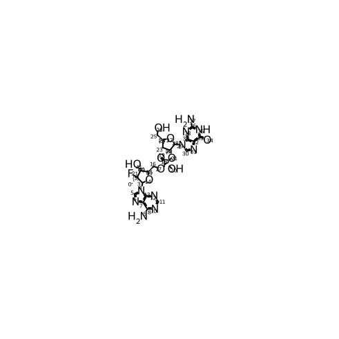 C[C@@]1(F)C(n2cnc3c(N)ncnc32)O[C@H](COP(=O)(O)O[C@@H]2C[C@@H](CO)OC2n2cnc3c(=O)[nH]c(N)nc32)[C@H]1O